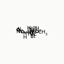 CCc1cc(NCCNC2CCN(c3ncccn3)CC2)n2nc(C)c(-c3c(C)cc(C)cc3C)c2n1